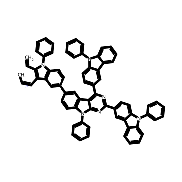 C=Cc1c(/C=C\C)c2cc(-c3ccc4c(c3)c3c(-c5ccc6c(c5)c5ccccc5n6-c5ccccc5)nc(-c5ccc6c(c5)c5ccccc5n6-c5ccccc5)nc3n4-c3ccccc3)ccc2n1-c1ccccc1